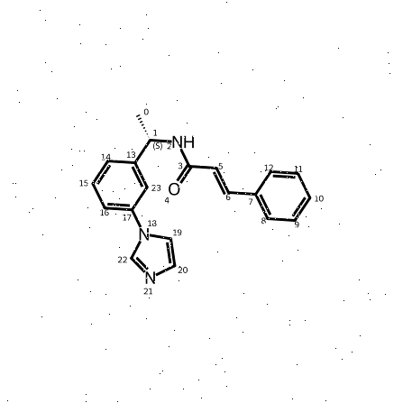 C[C@H](NC(=O)C=Cc1ccccc1)c1cccc(-n2ccnc2)c1